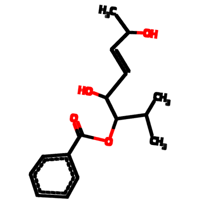 CC(O)/C=C/C(O)C(OC(=O)c1ccccc1)C(C)C